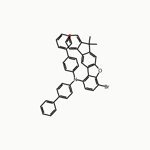 CC1(C)c2ccccc2-c2cc3c(cc21)oc1c(Br)ccc(N(c2ccc(-c4ccccc4)cc2)c2ccc(-c4ccccc4)cc2)c13